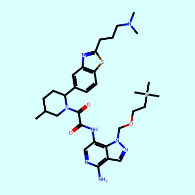 CC1CCC(c2ccc3sc(CCCN(C)C)nc3c2)N(C(=O)C(=O)Nc2cnc(N)c3cnn(COCC[Si](C)(C)C)c23)C1